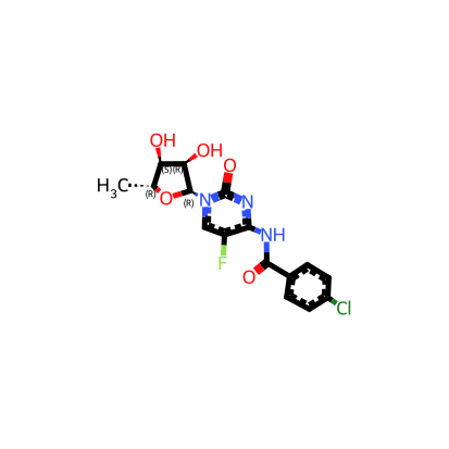 C[C@H]1O[C@@H](n2cc(F)c(NC(=O)c3ccc(Cl)cc3)nc2=O)[C@H](O)[C@@H]1O